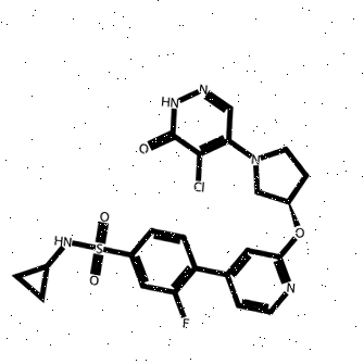 O=c1[nH]ncc(N2CC[C@@H](Oc3cc(-c4ccc(S(=O)(=O)NC5CC5)cc4F)ccn3)C2)c1Cl